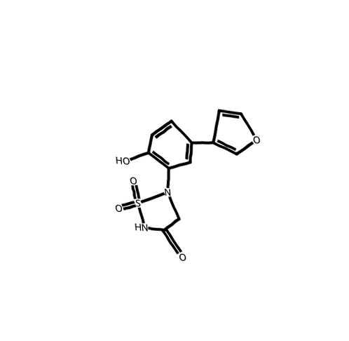 O=C1CN(c2cc(-c3ccoc3)ccc2O)S(=O)(=O)N1